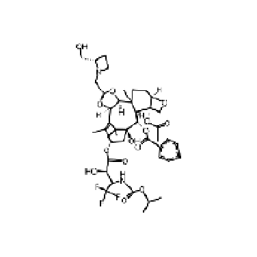 CC(=O)O[C@@]12CO[C@@H]1CC[C@@]1(C)[C@@H]3O[C@H](CN4CC[C@H]4CO)O[C@@H]3C3=C(C)[C@@H](OC(=O)[C@H](O)[C@@H](NC(=O)OC(C)C)C(F)(F)F)C[C@@](O)([C@@H](OC(=O)c4ccccc4)[C@@H]12)C3(C)C